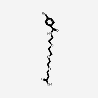 O=C(O)CCOCCOCCOCCNC(=O)c1ccc(Br)cc1